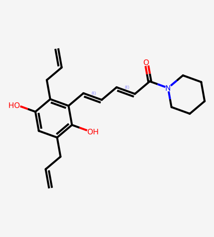 C=CCc1cc(O)c(CC=C)c(/C=C/C=C/C(=O)N2CCCCC2)c1O